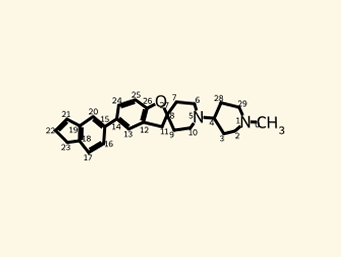 CN1CCC(N2CCC3(CC2)Cc2cc(-c4ccc5c(c4)C=CC5)ccc2O3)CC1